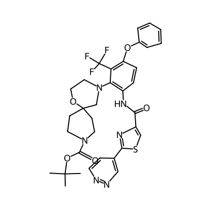 CC(C)(C)OC(=O)N1CCC2(CC1)CN(c1c(NC(=O)c3csc(-c4ccnnc4)n3)ccc(Oc3ccccc3)c1C(F)(F)F)CCO2